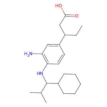 CCC(CC(=O)O)c1ccc(NC(C(C)C)C2CCCCC2)c(N)c1